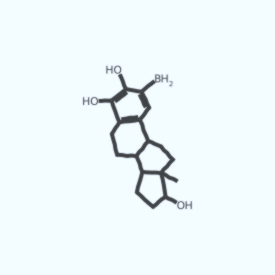 Bc1cc2c(c(O)c1O)CCC1C2CCC2(C)C(O)CCC12